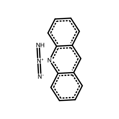 [N-]=[N+]=N.c1ccc2nc3ccccc3cc2c1